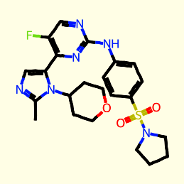 Cc1ncc(-c2nc(Nc3ccc(S(=O)(=O)N4CCCC4)cc3)ncc2F)n1C1CCOCC1